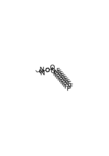 CCc1cnc(-c2ccc(C(=O)OCC(F)(F)C(F)(F)C(F)(F)C(F)(F)C(F)(F)C(F)(F)C(F)(F)C(F)(F)C(F)(F)C(F)F)cc2)nc1